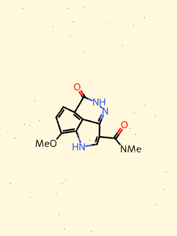 CNC(=O)C1=CNc2c(OC)ccc3c(=O)[nH]nc1c23